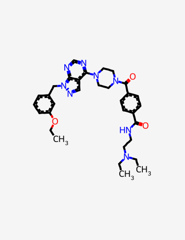 CCOc1cccc(Cn2ncc3c(N4CCN(C(=O)c5ccc(C(=O)NCCN(CC)CC)cc5)CC4)ncnc32)c1